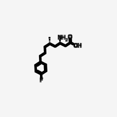 C[C@@H](CCCc1ccc(F)cc1)C[C@H](N)CC(=O)O